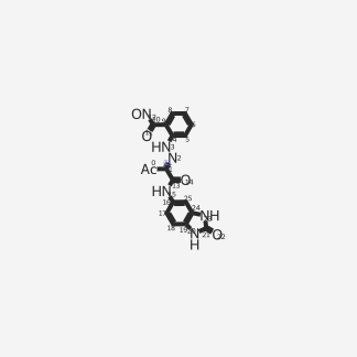 CC(=O)/C(=N\Nc1ccccc1C(=O)N=O)C(=O)Nc1ccc2[nH]c(=O)[nH]c2c1